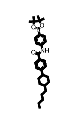 CCCCCC1CCC(c2ccc(C(=O)Nc3ccc(B4OC(C)(C)C(C)(C)O4)cc3)cc2)CC1